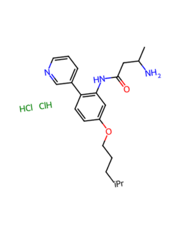 CC(C)CCCOc1ccc(-c2cccnc2)c(NC(=O)CC(C)N)c1.Cl.Cl